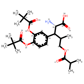 CC(C)C(=O)OCC(C)C(c1ccc(OC(=O)C(C)(C)C)c(OC(=O)C(C)(C)C)c1)[C@H](N)C(=O)O